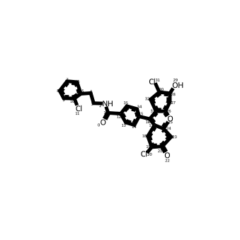 O=C(NCCc1ccccc1Cl)c1ccc(-c2c3cc(Cl)c(=O)cc-3oc3cc(O)c(Cl)cc23)cc1